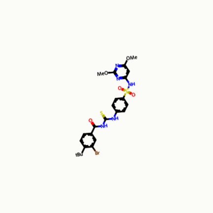 COc1cc(NS(=O)(=O)c2ccc(NC(=S)NC(=O)c3ccc(C(C)(C)C)c(Br)c3)cc2)nc(OC)n1